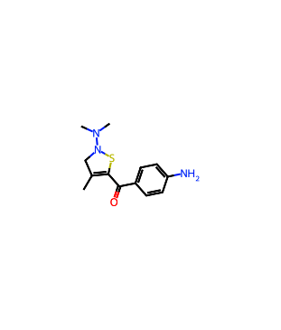 CC1=C(C(=O)c2ccc(N)cc2)SN(N(C)C)C1